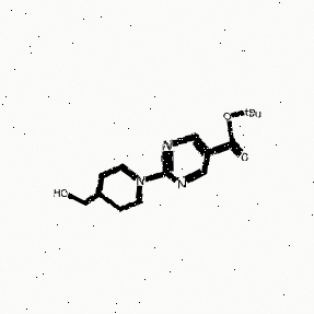 CC(C)(C)OC(=O)c1cnc(N2CCC(CO)CC2)nc1